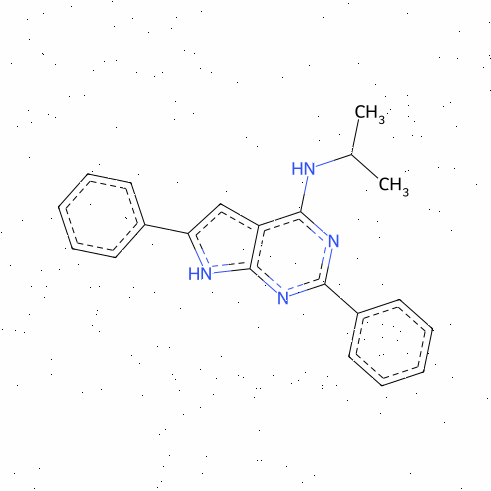 CC(C)Nc1nc(-c2ccccc2)nc2[nH]c(-c3ccccc3)cc12